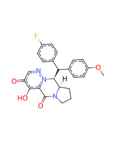 COc1ccc(C(c2ccc(F)cc2)[C@H]2[C@H]3CCCN3C(=O)c3c(O)c(=O)cnn32)cc1